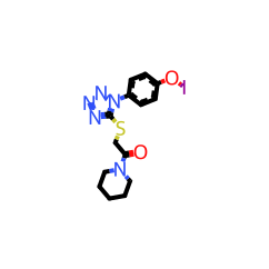 O=C(CSc1nnnn1-c1ccc(OI)cc1)N1CCCCC1